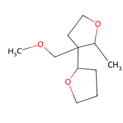 COCC1(C2CCCO2)CCO[C]1C